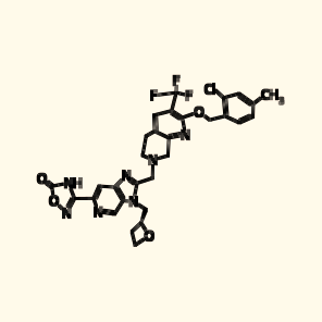 Cc1ccc(COc2nc3c(cc2C(F)(F)F)CCN(Cc2nc4cc(-c5noc(=O)[nH]5)ncc4n2C[C@@H]2CCO2)C3)c(Cl)c1